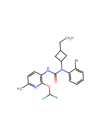 Cc1ccc(NC(=O)N(c2ccccc2C(C)C)C2CC(CC(=O)O)C2)c(OC(F)F)n1